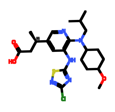 COC1CCC(N(CC(C)C)c2ncc([C@H](C)CC(=O)O)cc2Nc2nc(Cl)ns2)CC1